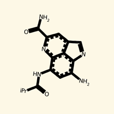 CC(C)C(=O)Nc1cc(N)c2c3c(cc(C(N)=O)nc13)C=N2